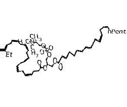 CC/C=C\C/C=C\C/C=C\C/C=C\C/C=C\C/C=C\CCC(=O)O[C@H](COC(=O)CCCCCCCCC/C=C\C/C=C\CCCCC)COP(=O)([O-])OCC[N+](C)(C)C